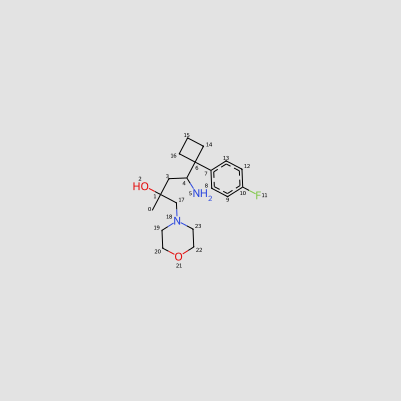 CC(O)(CC(N)C1(c2ccc(F)cc2)CCC1)CN1CCOCC1